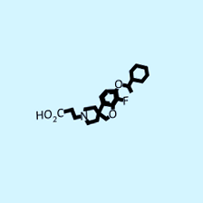 CC(Oc1ccc2c(c1F)OCC21CCN(CCC(=O)O)CC1)C1CCCCC1